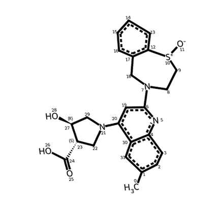 Cc1ccc2nc(N3CC[S+]([O-])c4ccccc4C3)cc(N3C[C@H](C(=O)O)[C@@H](O)C3)c2c1